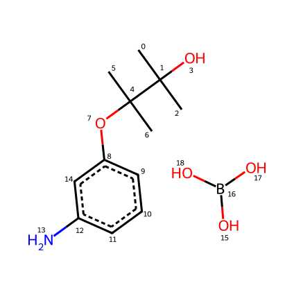 CC(C)(O)C(C)(C)Oc1cccc(N)c1.OB(O)O